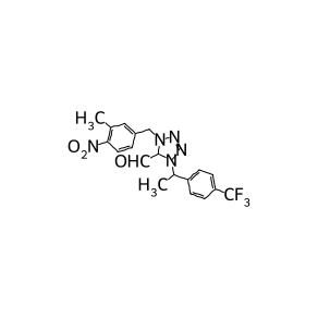 Cc1cc(CN2N=NN(C(C)c3ccc(C(F)(F)F)cc3)C2C=O)ccc1[N+](=O)[O-]